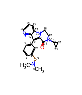 CN(C)Sc1cccc(-c2c3n(c4cccnc24)CCN(C2CC2)C3=O)c1